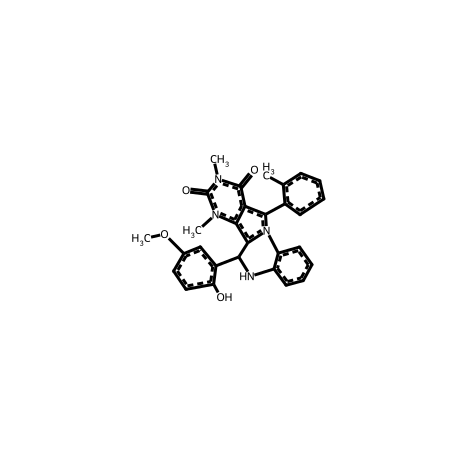 COc1ccc(O)c(C2Nc3ccccc3-n3c(-c4ccccc4C)c4c(=O)n(C)c(=O)n(C)c4c32)c1